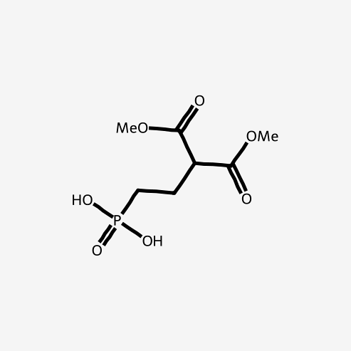 COC(=O)C(CCP(=O)(O)O)C(=O)OC